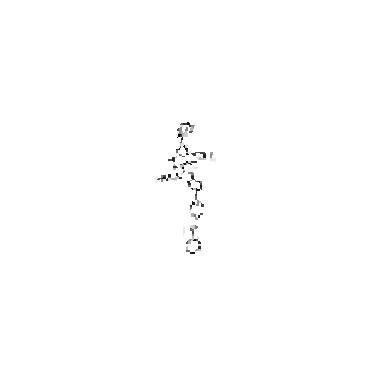 CCc1cc(-c2ncco2)cc(C)c1C(=O)NC(Cc1ccc(N2CCC(CNc3ccccn3)CC2)cc1)C(=O)O